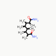 C=C(C(=C)C(=C)C(=C)C(N)=O)C(=C)C(=C)C(N)=O